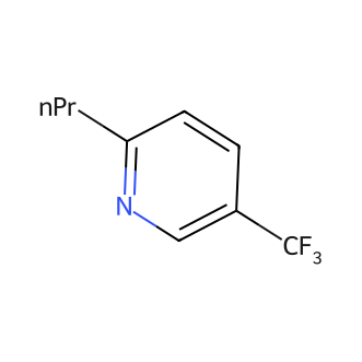 CCCc1ccc(C(F)(F)F)cn1